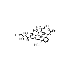 CCC(=O)SCc1cccc(OCCN(CC(O)C(O)C(O)C(O)CO)CC(O)C(O)C(O)C(O)CO)c1.Cl